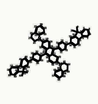 CC1(C)c2ccccc2-c2ccc(-c3ccc(-c4c5ccc(N6CCCc7ccccc76)cc5c(-c5ccc(-c6ccc7c(c6)C(C)(C)c6ccccc6-7)cc5)c5ccc(N6CCCc7ccccc76)cc45)cc3)cc21